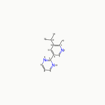 Cc1ncc(-c2ncccn2)cc1C(C)C